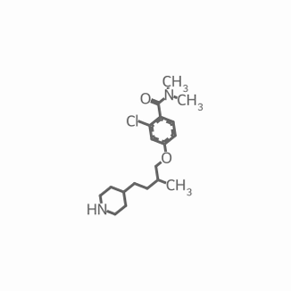 CC(CCC1CCNCC1)COc1ccc(C(=O)N(C)C)c(Cl)c1